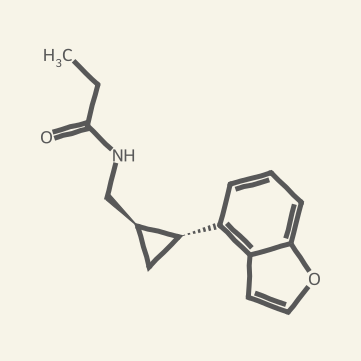 CCC(=O)NC[C@@H]1C[C@H]1c1cccc2occc12